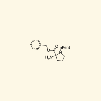 CCCCCN1CCCC1(N)C(=O)OCc1ccccc1